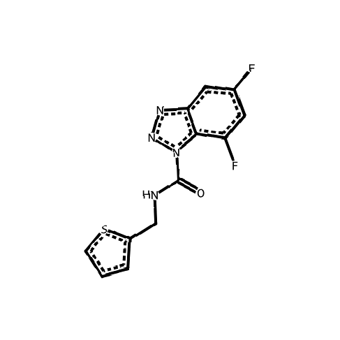 O=C(NCc1cccs1)n1nnc2cc(F)cc(F)c21